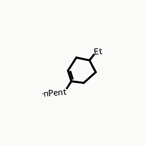 CCCC[CH]C1=CCC(CC)CC1